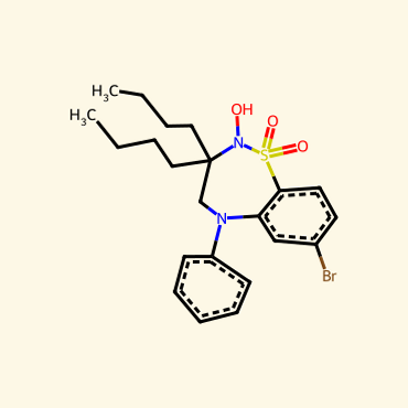 CCCCC1(CCCC)CN(c2ccccc2)c2cc(Br)ccc2S(=O)(=O)N1O